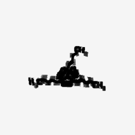 CCCCCS(=O)(=O)C(S(=O)(=O)CCCCC)S(=O)(=O)CCCCC